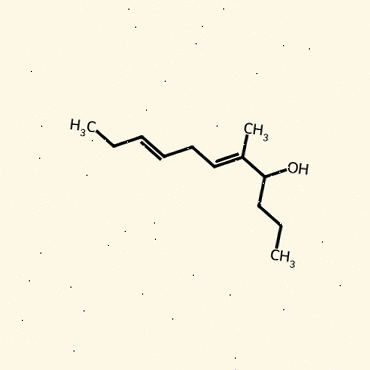 CC/C=C/C/C=C(\C)C(O)CCC